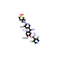 COc1cc(N)c(C(=N)c2cnc(N3CC4(CCS(=O)(=O)C4)C3)c(C#N)c2)cc1O[C@H](N)c1c(Cl)cncc1Cl